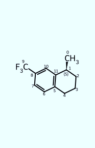 C[C@H]1CCCc2ccc(C(F)(F)F)cc21